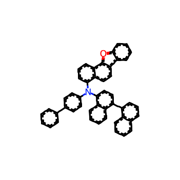 c1ccc(-c2ccc(N(c3ccc(-c4cccc5ccccc45)c4ccccc34)c3cccc4c3ccc3c5ccccc5oc43)cc2)cc1